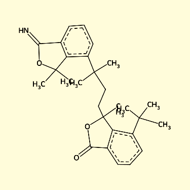 CC(C)(C)c1cccc2c1C(C)(CCC(C)(C)c1cccc3c1C(C)(C)OC3=N)OC2=O